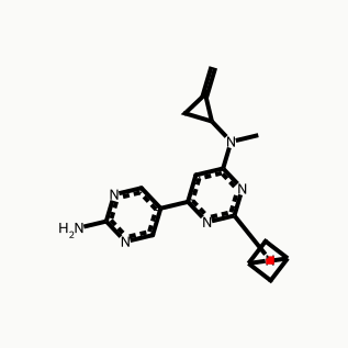 C=C1CC1N(C)c1cc(-c2cnc(N)nc2)nc(N2CC3CC2C3)n1